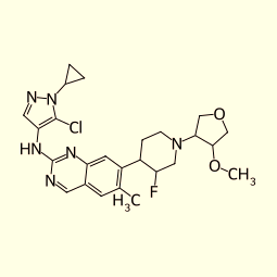 COC1COCC1N1CCC(c2cc3nc(Nc4cnn(C5CC5)c4Cl)ncc3cc2C)C(F)C1